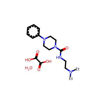 CCN(CC)CCNC(=O)N1CCN(c2ccccc2)CC1.O.O=C(O)C(=O)O